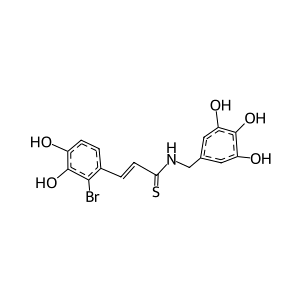 Oc1cc(CNC(=S)C=Cc2ccc(O)c(O)c2Br)cc(O)c1O